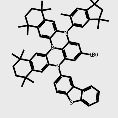 Cc1cc2c(cc1N1c3cc4c(cc3B3c5cc6c(cc5N(c5ccc7sc8ccccc8c7c5)c5cc(C(C)(C)C)cc1c53)C(C)(C)CCC6(C)C)C(C)(C)CCC4(C)C)C(C)(C)CC2(C)C